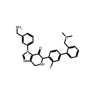 CN(C)Cc1ccccc1-c1ccc(C2NCc3ncn(-c4cccc(CN)c4)c3C2=O)c(F)c1